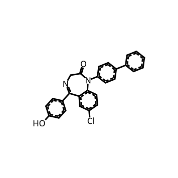 O=C1CN=C(c2ccc(O)cc2)c2cc(Cl)ccc2N1c1ccc(-c2ccccc2)cc1